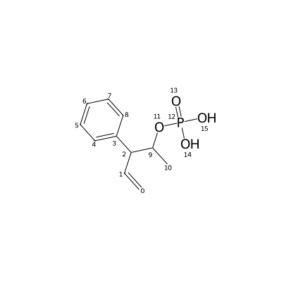 C=CC(c1ccccc1)C(C)OP(=O)(O)O